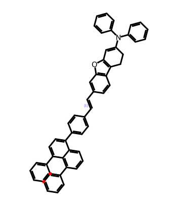 C1=C(N(c2ccccc2)c2ccccc2)CCc2c1oc1cc(/C=C/c3ccc(-c4ccc(-c5ccccc5)c5c(-c6ccccc6)cccc45)cc3)ccc21